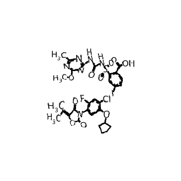 CC(C)=C1OC(=O)N(c2cc(OC3CCCC3)c(Cl)cc2F)C1=O.COc1nc(C)nc(NC(=O)NS(=O)(=O)c2cc(I)ccc2C(=O)O)n1